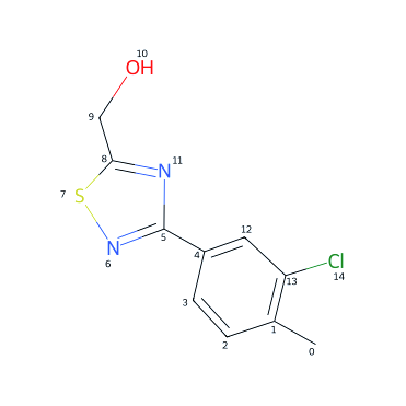 Cc1ccc(-c2nsc(CO)n2)cc1Cl